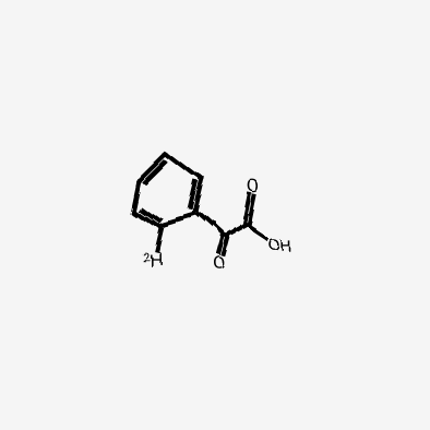 [2H]c1ccccc1C(=O)C(=O)O